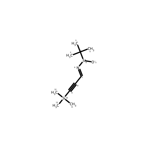 CC(C)(C)[S+]([O-])N=CC#C[Si](C)(C)C